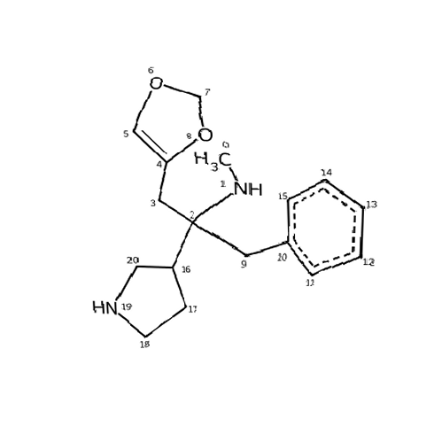 CNC(CC1=COCO1)(Cc1ccccc1)C1CCNC1